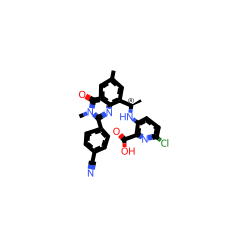 Cc1cc([C@@H](C)Nc2ccc(Cl)nc2C(=O)O)c2nc(-c3ccc(C#N)cc3)n(C)c(=O)c2c1